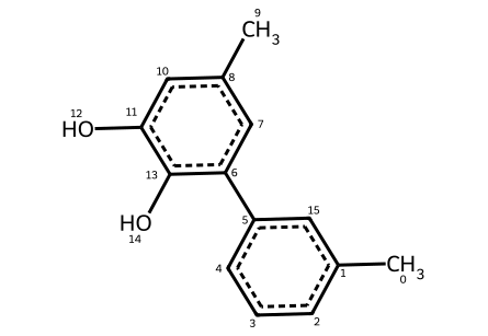 Cc1cccc(-c2cc(C)cc(O)c2O)c1